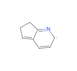 [CH]1C=CC2=CCCC2=N1